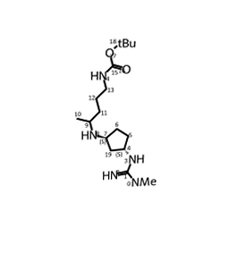 CNC(=N)N[C@H]1CC[C@H](NC(C)CCCNC(=O)OC(C)(C)C)C1